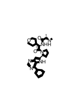 CN[C@@H](C)C(=O)N[C@H](C(=O)N1CCC[C@H]1c1cc2ncnc(-c3ccccc3)c2[nH]1)C1CCOCC1